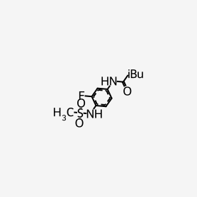 CCC(C)C(=O)Nc1ccc(NS(C)(=O)=O)c(F)c1